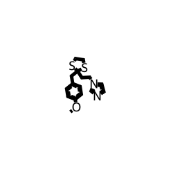 COc1ccc(CC2(CCn3ccnc3)SCCS2)cc1